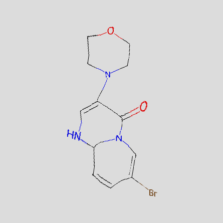 O=C1C(N2CCOCC2)=CNC2C=CC(Br)=CN12